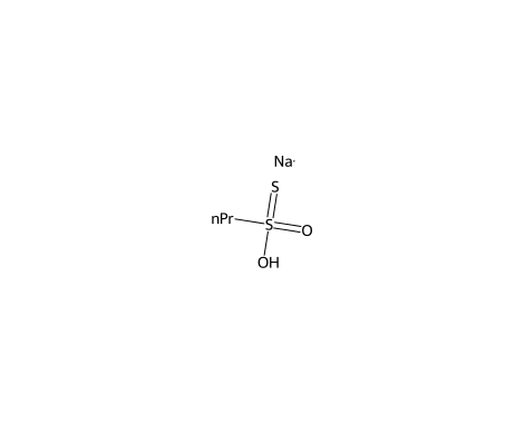 CCCS(=O)(O)=S.[Na]